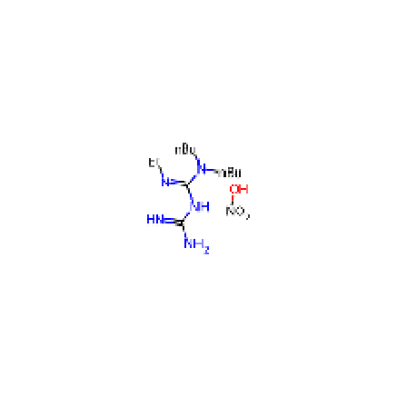 CCCCN(CCCC)/C(=N\CC)NC(=N)N.O=[N+]([O-])O